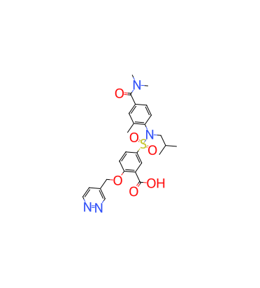 Cc1cc(C(=O)N(C)C)ccc1N(CC(C)C)S(=O)(=O)c1ccc(OCc2ccnnc2)c(C(=O)O)c1